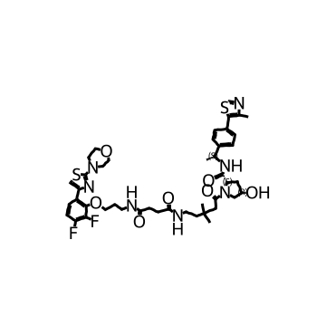 Cc1ncsc1-c1ccc([C@H](C)NC(=O)[C@@H]2C[C@@H](O)CN2C(=O)CC(C)(C)CCNC(=O)CCC(=O)NCCCOc2c(-c3csc(N4CCOCC4)n3)ccc(F)c2F)cc1